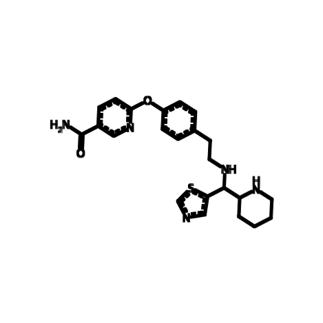 NC(=O)c1ccc(Oc2ccc(CCNC(c3cncs3)C3CCCCN3)cc2)nc1